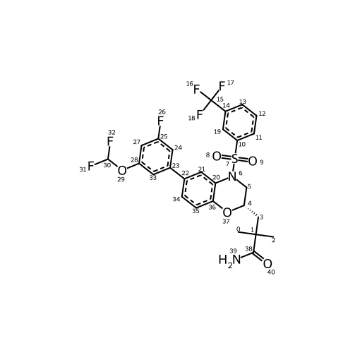 CC(C)(C[C@H]1CN(S(=O)(=O)c2cccc(C(F)(F)F)c2)c2cc(-c3cc(F)cc(OC(F)F)c3)ccc2O1)C(N)=O